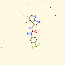 O=C(Nc1ccc(C(F)(F)F)cc1)Nc1c[nH]c2ncc(Cl)cc12